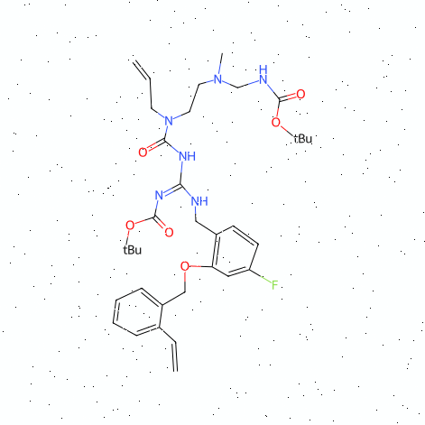 C=CCN(CCN(C)CNC(=O)OC(C)(C)C)C(=O)NC(=NC(=O)OC(C)(C)C)NCc1ccc(F)cc1OCc1ccccc1C=C